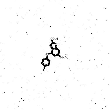 CC(=O)Nc1cc(Nc2ccc(C(F)(F)F)cc2)c2cc(C(=O)O)[nH]c2c1